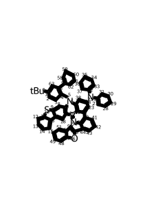 CC(C)(C)c1ccc(CN2c3cc4sc5ccccc5c4cc3B3c4c(cc(N(c5ccccc5)c5ccccc5)cc42)-c2cccc4c5oc6ccccc6c5n3c24)c(-c2ccccc2)c1